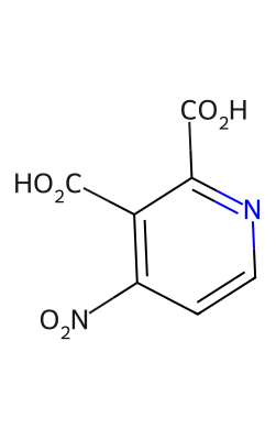 O=C(O)c1nccc([N+](=O)[O-])c1C(=O)O